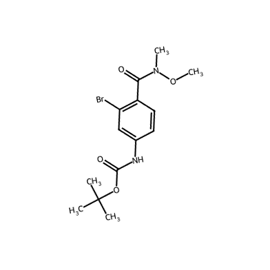 CON(C)C(=O)c1ccc(NC(=O)OC(C)(C)C)cc1Br